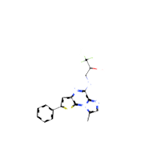 Cc1cnc2c(NCC(O)C(F)(F)F)nc3cc(-c4ccccc4)sc3n12